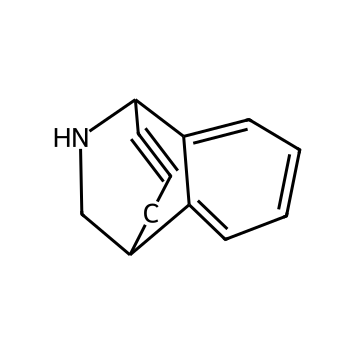 C1#CC2NCC(C1)c1ccccc12